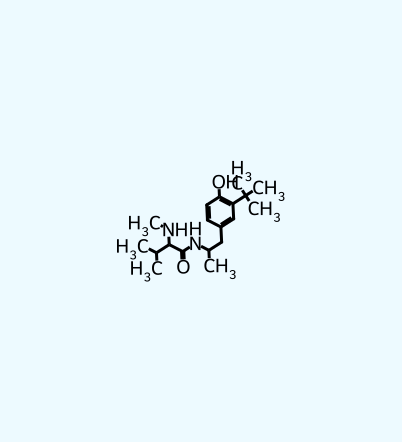 CNC(C(=O)NC(C)Cc1ccc(O)c(C(C)(C)C)c1)C(C)C